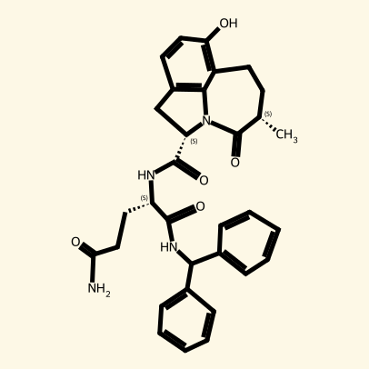 C[C@H]1CCc2c(O)ccc3c2N(C1=O)[C@H](C(=O)N[C@@H](CCC(N)=O)C(=O)NC(c1ccccc1)c1ccccc1)C3